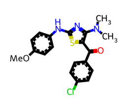 COc1ccc(Nc2nc(N(C)C)c(C(=O)c3ccc(Cl)cc3)s2)cc1